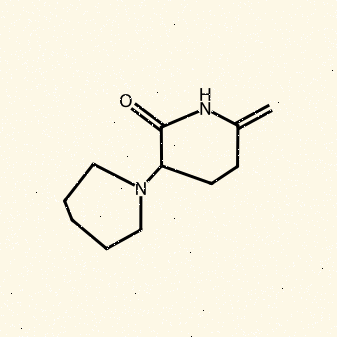 C=C1CCC(N2CCCCC2)C(=O)N1